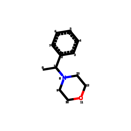 CC(c1cc[c]cc1)N1CCOCC1